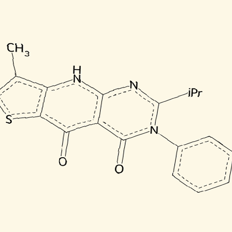 Cc1csc2c(=O)c3c(=O)n(-c4ccccc4)c(C(C)C)nc3[nH]c12